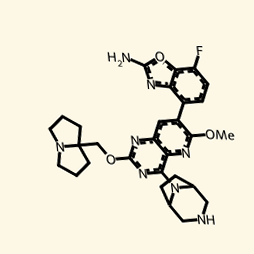 COc1nc2c(N3C4CCC3CNC4)nc(OCC34CCCN3CCC4)nc2cc1-c1ccc(F)c2oc(N)nc12